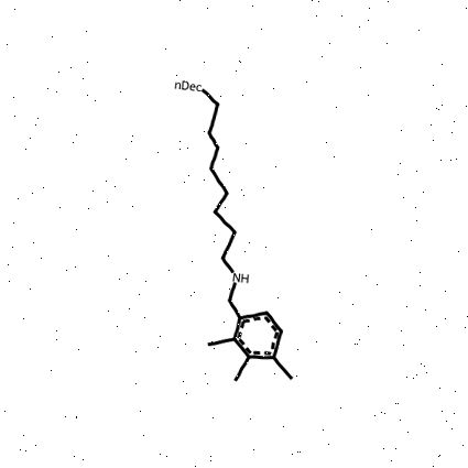 CCCCCCCCCCCCCCCCCCNCc1ccc(C)c(C)c1C